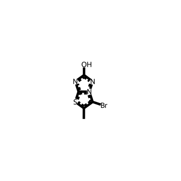 Cc1sc2nc(O)nn2c1Br